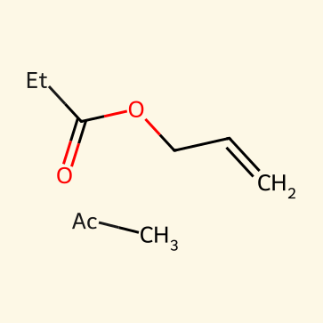 C=CCOC(=O)CC.CC(C)=O